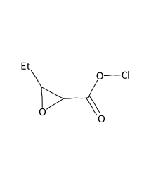 CCC1OC1C(=O)OCl